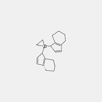 C1=C[CH]([Zr]2([CH]3C=CC4=C3CCCC4)[CH2][CH2]2)C2=C1CCCC2